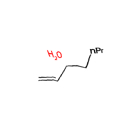 C=CCCCCC.O